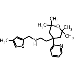 Cc1csc(CNCCC2(c3ccccn3)CC(C)(C)OC(C)(C)C2)c1